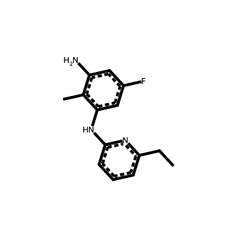 CCc1cccc(Nc2cc(F)cc(N)c2C)n1